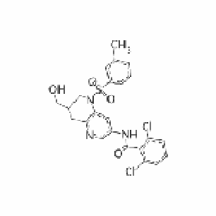 Cc1cccc(S(=O)(=O)N2CC(CO)Cc3ncc(NC(=O)c4c(Cl)cccc4Cl)cc32)c1